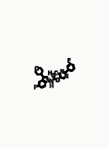 Cc1nc(-c2cccc(F)c2)ncc1OC(=O)Nn1cc(C2CCOCC2)c2cc(F)ccc21